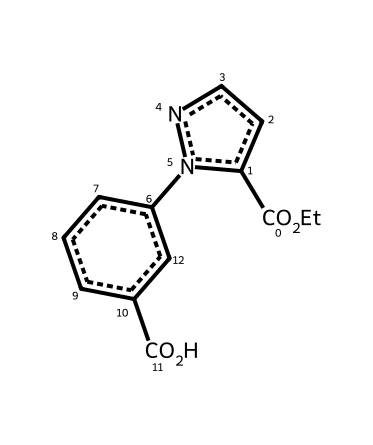 CCOC(=O)c1ccnn1-c1cccc(C(=O)O)c1